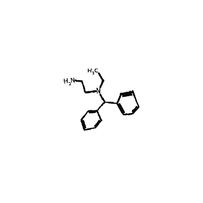 CCN(CCN)C(c1ccccc1)c1ccccc1